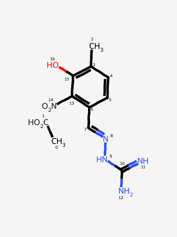 CC(=O)O.Cc1ccc(/C=N/NC(=N)N)c([N+](=O)[O-])c1O